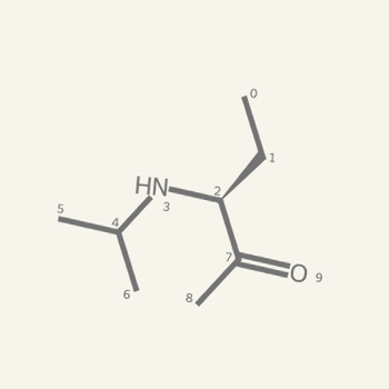 CC[C@H](NC(C)C)C(C)=O